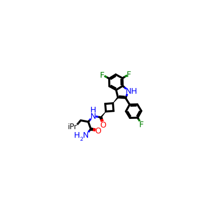 CC(C)CC(NC(=O)[C@H]1C[C@@H](c2c(-c3ccc(F)cc3)[nH]c3c(F)cc(F)cc32)C1)C(N)=O